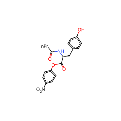 CCCC(=O)N[C@@H](Cc1ccc(O)cc1)C(=O)Oc1ccc([N+](=O)[O-])cc1